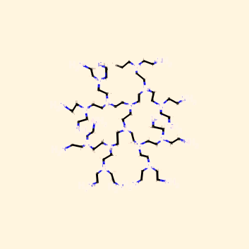 CNCCN(CCN)CCN(CCN(CCN)CCN)CCN(CCN(CCN(CCN)CCN)CCN(CCN)CCN)CCN(CCN(CCN(CCN)CCN)CCN(CCN)CCN)CCN(CCN(CCN)CCN)CCN(CCN)CCN